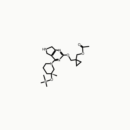 CC(=O)OCC1(COc2nc3c(c(N4CCC[C@@](C)(O[Si](C)(C)C)C4)n2)CNC3)CC1